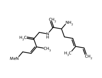 C=C/C(C)=C/CC(N)C(=C)NCC(=C)/C(C)=C\CNC